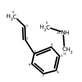 CC=Cc1ccccc1.CNC